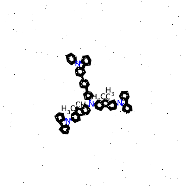 CC1(C)c2cc(N(c3ccc(-c4ccc(-c5ccc6c(c5)c5ccccc5n6-c5ccccc5)cc4)cc3)c3ccc4c(c3)C(C)(C)c3cc(-n5c6ccccc6c6ccccc65)ccc3-4)ccc2-c2ccc(-n3c4ccccc4c4ccccc43)cc21